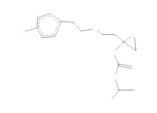 CC(C)OC(=O)OC1(CCOCCc2ccc(Cl)cc2)CO1